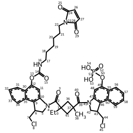 CCC1(C(=O)N2CC(CCl)c3c2cc(OC(=O)NCCCCCCN2C(=O)C=CC2=O)c2ccccc32)CC(C)(C(=O)N2CC(CCl)c3c2cc(OP(=O)(O)O)c2ccccc32)C1